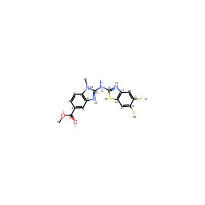 COC(=O)c1ccc2c(c1)nc(Nc1nc3cc(F)c(F)cc3s1)n2C